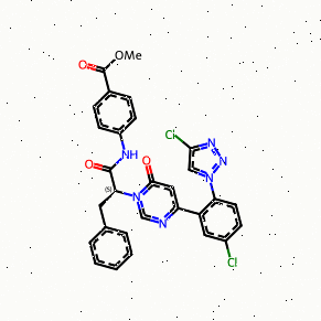 COC(=O)c1ccc(NC(=O)[C@H](Cc2ccccc2)n2cnc(-c3cc(Cl)ccc3-n3cc(Cl)nn3)cc2=O)cc1